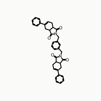 O=C1C2CC=C(c3ccccc3)CC2C(=O)N1Cc1cccc(CN2C(=O)C3CC=C(c4ccccc4)CC3C2=O)c1